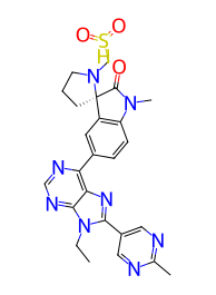 CCn1c(-c2cnc(C)nc2)nc2c(-c3ccc4c(c3)[C@]3(CCCN3C[SH](=O)=O)C(=O)N4C)ncnc21